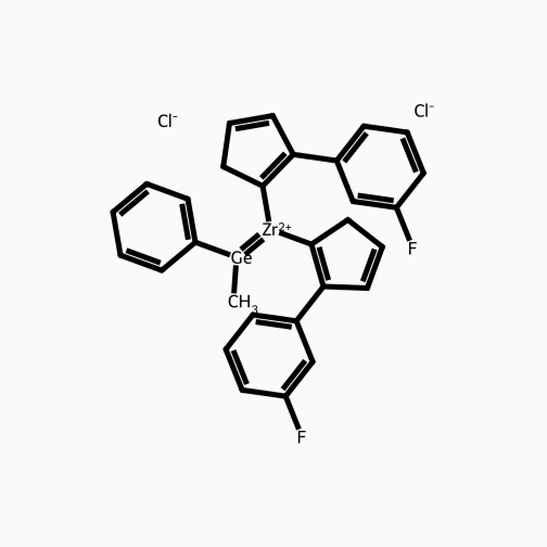 [CH3][Ge]([c]1ccccc1)=[Zr+2]([C]1=C(c2cccc(F)c2)C=CC1)[C]1=C(c2cccc(F)c2)C=CC1.[Cl-].[Cl-]